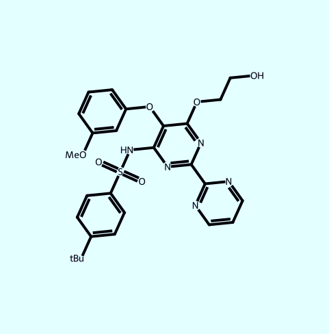 COc1cccc(Oc2c(NS(=O)(=O)c3ccc(C(C)(C)C)cc3)nc(-c3ncccn3)nc2OCCO)c1